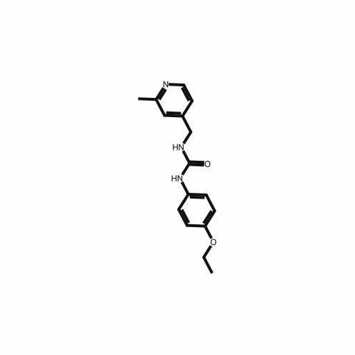 CCOc1ccc(NC(=O)NCc2ccnc(C)c2)cc1